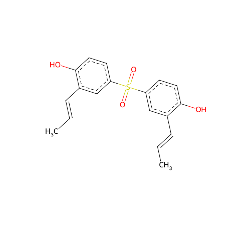 CC=Cc1cc(S(=O)(=O)c2ccc(O)c(C=CC)c2)ccc1O